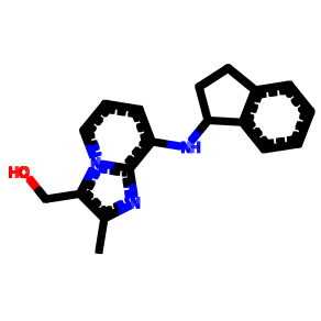 Cc1nc2c(NC3CCc4ccccc43)cccn2c1CO